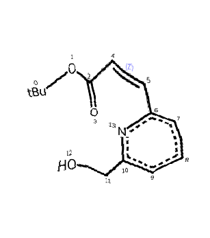 CC(C)(C)OC(=O)/C=C\c1cccc(CO)n1